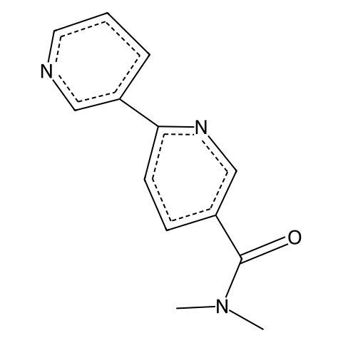 CN(C)C(=O)c1ccc(-c2cccnc2)nc1